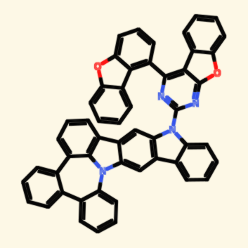 c1ccc2c(c1)-c1ccccc1-n1c3cc4c5ccccc5n(-c5nc(-c6cccc7oc8ccccc8c67)c6c(n5)oc5ccccc56)c4cc3c3cccc-2c31